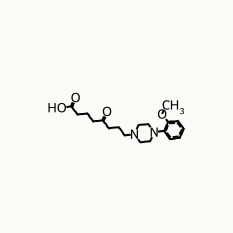 COc1ccccc1N1CCN(CCCC(=O)CCCC(=O)O)CC1